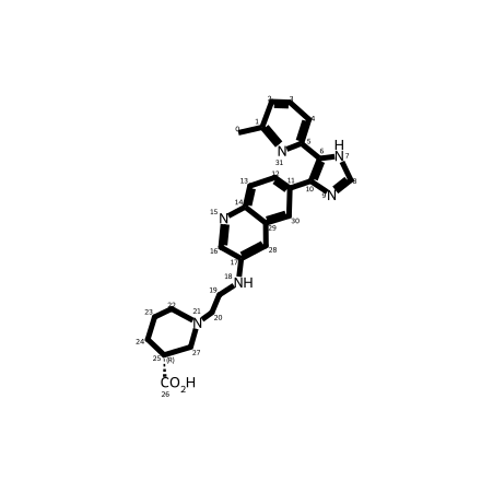 Cc1cccc(-c2[nH]cnc2-c2ccc3ncc(NCCN4CCC[C@@H](C(=O)O)C4)cc3c2)n1